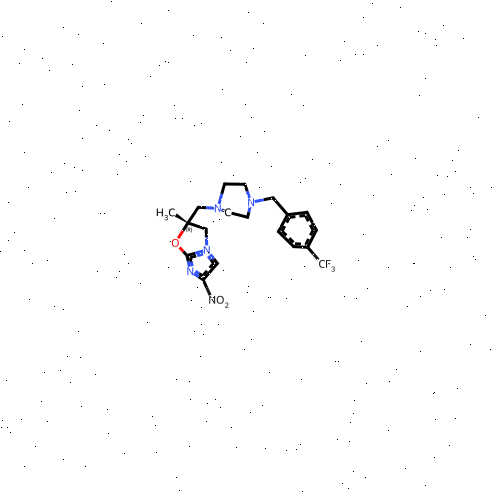 C[C@@]1(CN2CCN(Cc3ccc(C(F)(F)F)cc3)CC2)Cn2cc([N+](=O)[O-])nc2O1